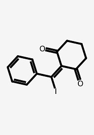 O=C1CCCC(=O)C1=C(I)c1ccccc1